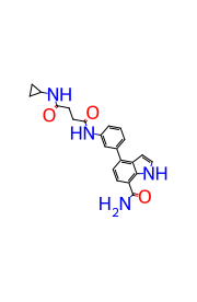 NC(=O)c1ccc(-c2cccc(NC(=O)CCC(=O)NC3CC3)c2)c2cc[nH]c12